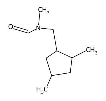 CC1CC(C)C(CN(C)C=O)C1